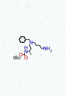 C[C@H](CCN(CCCCN)Cc1ccccc1)NC(=O)OC(C)(C)C